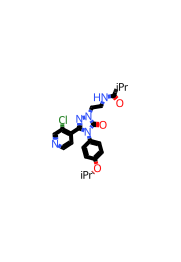 CC(C)Oc1ccc(-n2c(-c3ccncc3Cl)nn(CCNC(=O)C(C)C)c2=O)cc1